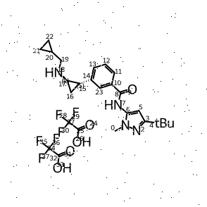 Cn1nc(C(C)(C)C)cc1NC(=O)c1cccc([C@@H]2C[C@H]2NCC2CC2)c1.O=C(O)C(F)(F)F.O=C(O)C(F)(F)F